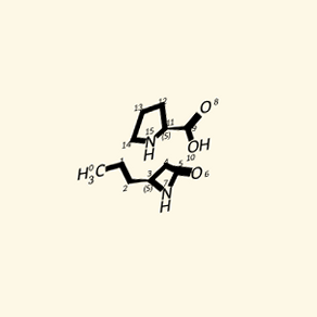 CCC[C@H]1CC(=O)N1.O=C(O)[C@@H]1CCCN1